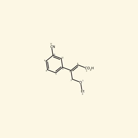 CCOCC(=CC(=O)O)c1cccc(C#N)c1